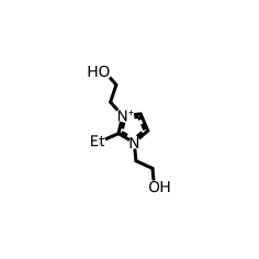 CCc1n(CCO)cc[n+]1CCO